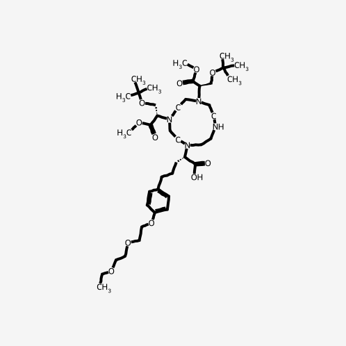 CCOCCOCCOc1ccc(CCC[C@@H](C(=O)O)N2CCNCCN([C@H](COC(C)(C)C)C(=O)OC)CCN([C@@H](COC(C)(C)C)C(=O)OC)CC2)cc1